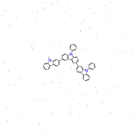 Cn1c2ccccc2c2ccc(-c3ccc4c(c3)c3cc(-c5ccc6c7ccccc7n(-c7ccccc7)c6c5)ccc3n4-c3ccccc3)cc21